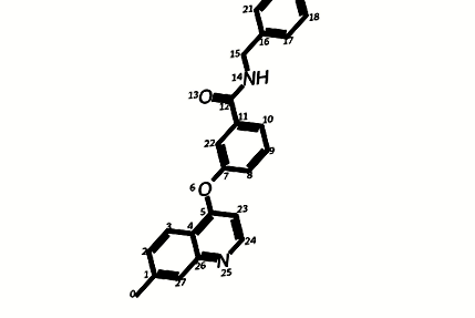 Cc1ccc2c(Oc3cccc(C(=O)NCc4ccccc4)c3)ccnc2c1